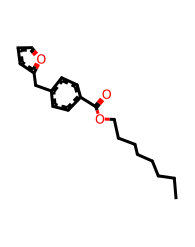 CCCCCCCCOC(=O)c1ccc(Cc2ccco2)cc1